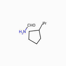 CC(C)C1CCCC1.NC=O